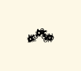 Cc1oc2ccc(OCc3ncccc3F)cc2c1C(=O)NC1(CO)CCOCC1